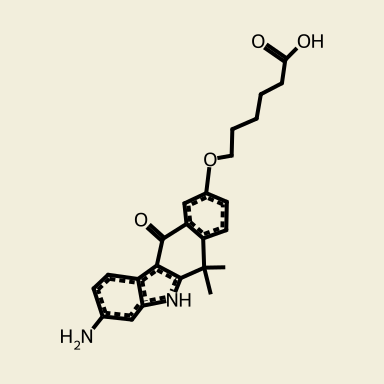 CC1(C)c2ccc(OCCCCCC(=O)O)cc2C(=O)c2c1[nH]c1cc(N)ccc21